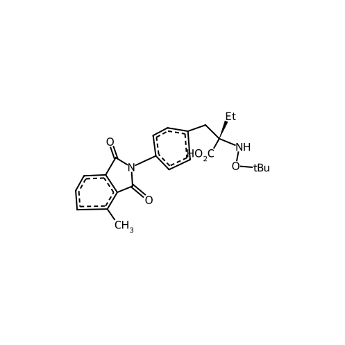 CC[C@@](Cc1ccc(N2C(=O)c3cccc(C)c3C2=O)cc1)(NOC(C)(C)C)C(=O)O